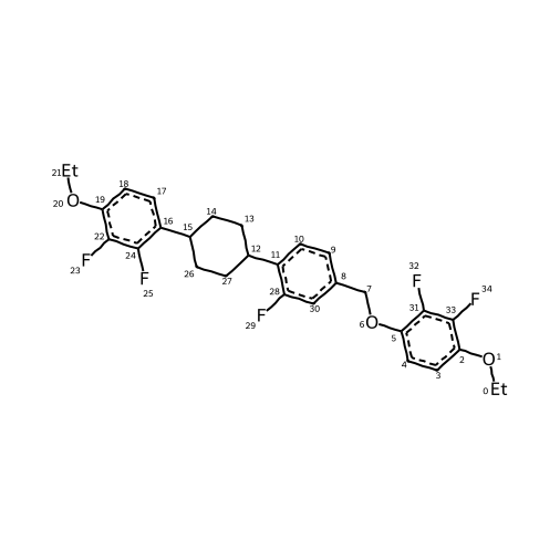 CCOc1ccc(OCc2ccc(C3CCC(c4ccc(OCC)c(F)c4F)CC3)c(F)c2)c(F)c1F